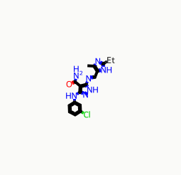 CCc1nc(C)c(/C=N/c2[nH]nc(Nc3cccc(Cl)c3)c2C(N)=O)[nH]1